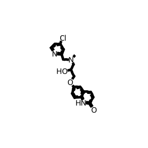 CN(Cc1cc(Cl)ccn1)CC(O)COc1ccc2[nH]c(=O)ccc2c1